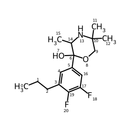 CCCc1cc(C2(O)OCC(C)(C)NC2C)cc(F)c1F